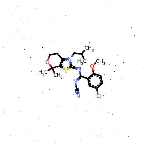 COc1ccc(Cl)cc1C(=NC#N)/N=c1\sc2c(n1CC(C)C)CCOC2(C)C